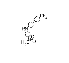 Cn1c(=O)oc2cc(Nc3ccc(N4CCC(C(F)(F)F)CC4)cc3)ccc21